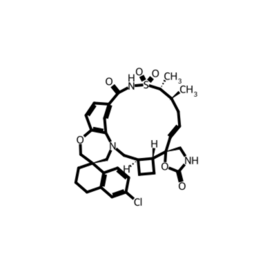 C[C@@H]1[C@@H](C)C/C=C/[C@@]2(CNC(=O)O2)[C@@H]2CC[C@H]2CN2C[C@@]3(CCCc4cc(Cl)ccc43)COc3ccc(cc32)C(=O)NS1(=O)=O